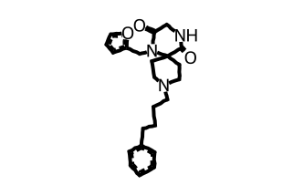 O=C1CNC(=O)C2(CCN(CCCCc3ccccc3)CC2)N1Cc1ccco1